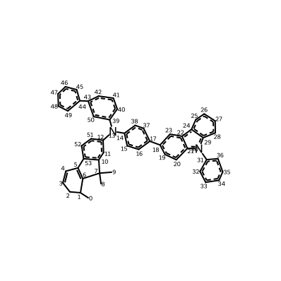 CC1CC=CC2=C1C(C)(C)c1cc(N(c3ccc(-c4ccc5c(c4)c4ccccc4n5-c4ccccc4)cc3)c3cccc(-c4ccccc4)c3)ccc12